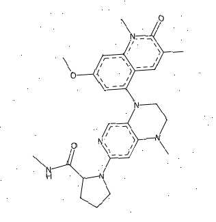 CNC(=O)C1CCCN1c1cc2c(cn1)N(c1cc(OC)cc3c1cc(C)c(=O)n3C)CCN2C